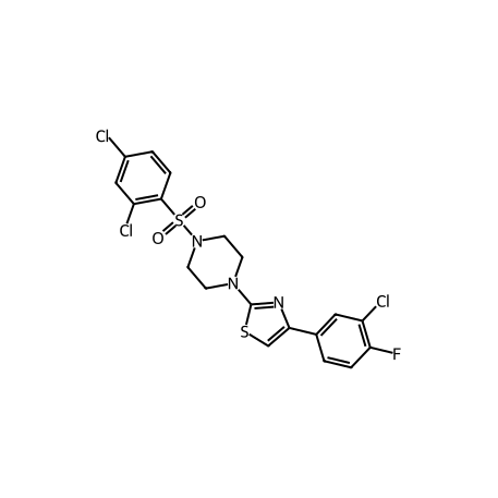 O=S(=O)(c1ccc(Cl)cc1Cl)N1CCN(c2nc(-c3ccc(F)c(Cl)c3)cs2)CC1